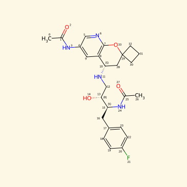 CC(=O)Nc1cnc2c(c1)[C@@H](NC[C@@H](O)[C@H](Cc1ccc(F)cc1)NC(C)=O)CC1(CCC1)O2